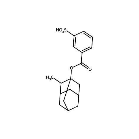 CC1C2CC3CC(C2)CC1(OC(=O)c1cccc(S(=O)(=O)O)c1)C3